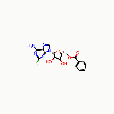 Nc1nc(Cl)nc2c1ncn2[C@@H]1O[C@H](COC(=O)c2ccccc2)C(O)C1O